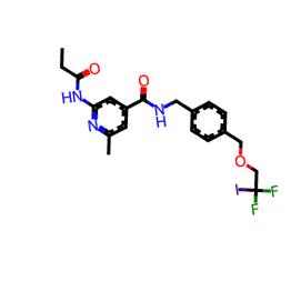 CCC(=O)Nc1cc(C(=O)NCc2ccc(COCC(F)(F)I)cc2)cc(C)n1